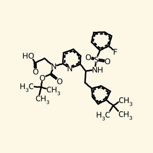 CC(C)(C)OC(=O)N(CC(=O)O)c1cccc(C(Cc2ccc(C(C)(C)C)cc2)NS(=O)(=O)c2ccccc2F)n1